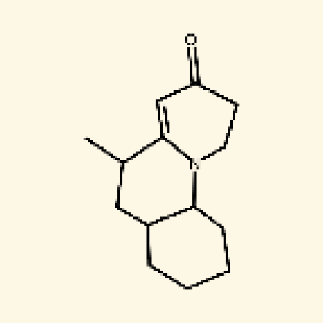 CC1CC2CCCCC2N2CCC(=O)C=C12